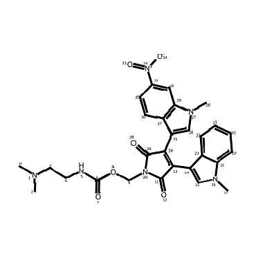 CN(C)CCNC(=O)OCN1C(=O)C(c2cn(C)c3ccccc23)=C(c2cn(C)c3cc([N+](=O)[O-])ccc23)C1=O